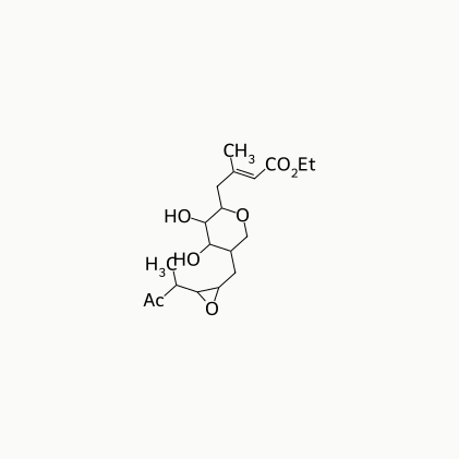 CCOC(=O)C=C(C)CC1OCC(CC2OC2C(C)C(C)=O)C(O)C1O